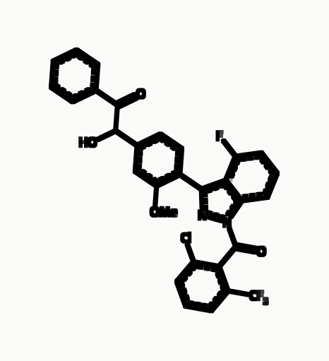 COc1cc(C(O)C(=O)c2ccccc2)ccc1-c1nn(C(=O)c2c(Cl)cccc2C(F)(F)F)c2cccc(F)c12